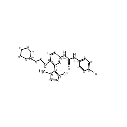 Cn1ncc(Cl)c1-c1cc(NC(=O)Nc2ccc(F)cc2)ccc1OCCN1CCCCC1